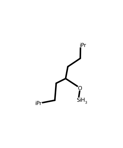 CC(C)CCC(CCC(C)C)O[SiH3]